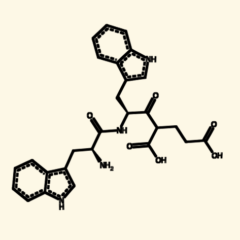 N[C@@H](Cc1c[nH]c2ccccc12)C(=O)N[C@@H](Cc1c[nH]c2ccccc12)C(=O)C(CCC(=O)O)C(=O)O